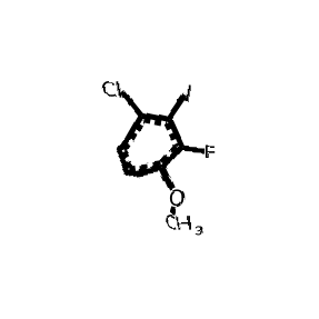 COc1ccc(Cl)c(I)c1F